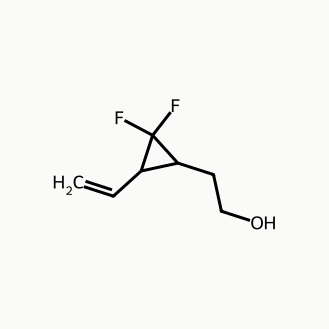 C=CC1C(CCO)C1(F)F